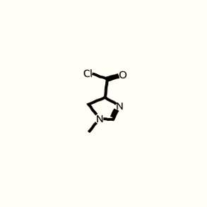 CN1C=NC(C(=O)Cl)C1